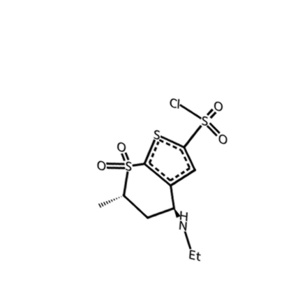 CCN[C@H]1C[C@H](C)S(=O)(=O)c2sc(S(=O)(=O)Cl)cc21